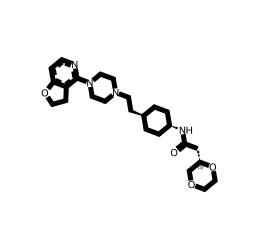 O=C(C[C@H]1COCCO1)N[C@H]1CC[C@H](CCN2CCN(c3nccc4c3CCO4)CC2)CC1